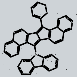 C1=CCCC(C2=C3C(=C(n4c5ccccc5c5ccccc54)c4c3ccc3ccccc43)c3ccc4ccccc4c32)=C1